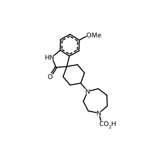 COc1ccc2c(c1)C1(CCC(N3CCCN(C(=O)O)CC3)CC1)C(=O)N2